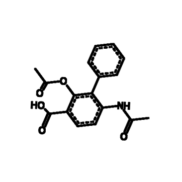 CC(=O)Nc1ccc(C(=O)O)c(OC(C)=O)c1-c1ccccc1